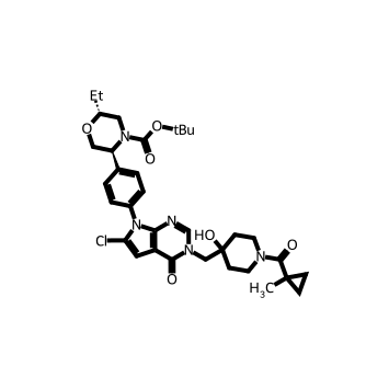 CC[C@@H]1CN(C(=O)OC(C)(C)C)[C@@H](c2ccc(-n3c(Cl)cc4c(=O)n(CC5(O)CCN(C(=O)C6(C)CC6)CC5)cnc43)cc2)CO1